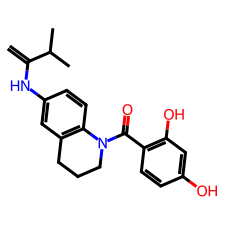 C=C(Nc1ccc2c(c1)CCCN2C(=O)c1ccc(O)cc1O)C(C)C